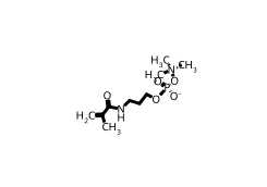 C=C(C)C(=O)NCCCOP(=O)([O-])O[N+](C)(C)C